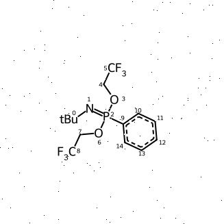 CC(C)(C)N=P(OCC(F)(F)F)(OCC(F)(F)F)c1ccccc1